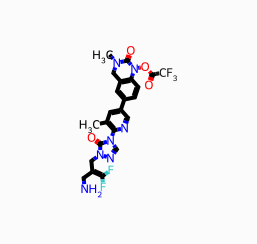 Cc1cc(-c2ccc3c(c2)CN(C)C(=O)N3OC(=O)C(F)(F)F)cnc1-n1cnn(CC(CN)=C(F)F)c1=O